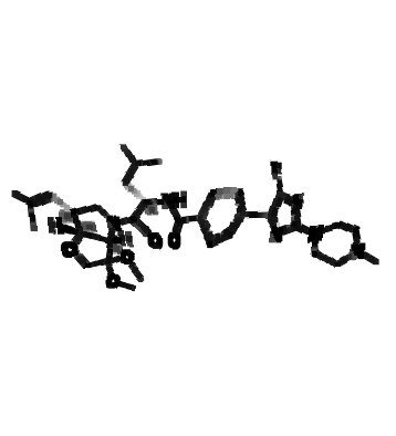 COC1(OC)CO[C@@H]2[C@H](C=C(C)C)CN(C(=O)[C@H](CC(C)C)NC(=O)c3ccc(-c4nc(N5CCN(C)CC5)sc4F)cc3)[C@@H]21